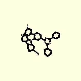 N#Cc1ccc2c3ccccc3n(-c3cc(-c4nc(-c5ccccc5)nc(-c5ccccc5)n4)ccc3-c3cc(F)cc(F)c3)c2c1